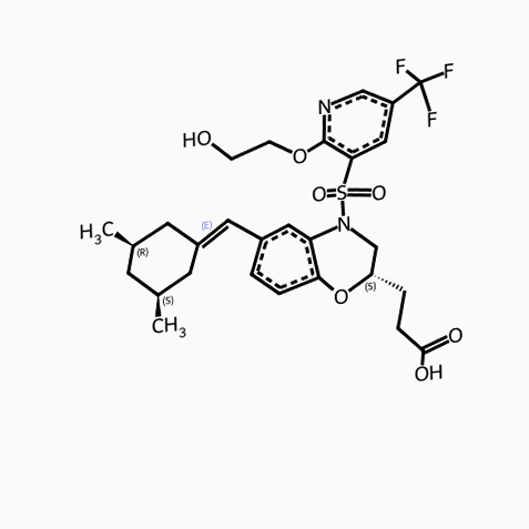 C[C@@H]1C/C(=C\c2ccc3c(c2)N(S(=O)(=O)c2cc(C(F)(F)F)cnc2OCCO)C[C@H](CCC(=O)O)O3)C[C@H](C)C1